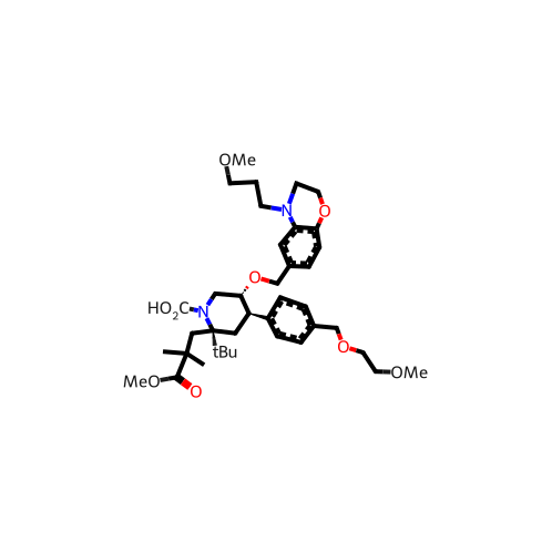 COCCCN1CCOc2ccc(CO[C@H]3CN(C(=O)O)[C@](CC(C)(C)C(=O)OC)(C(C)(C)C)C[C@@H]3c3ccc(COCCOC)cc3)cc21